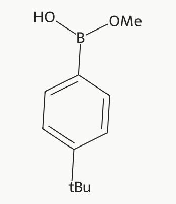 COB(O)c1ccc(C(C)(C)C)cc1